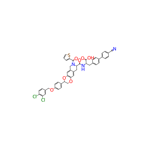 N#Cc1ccc(-c2ccc(CC(NC(=O)C3Cc4cc5c(cc4CN3C(=O)c3cccs3)OC(c3ccc(OCc4ccc(Cl)c(Cl)c4)cc3)CO5)C(=O)O)cc2)cc1